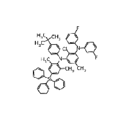 Cc1cc(N(c2cccc(F)c2)c2cccc(F)c2)c(Cl)c(N(c2ccc(C(C)(C)C)cc2)c2c(C)cc([Si](c3ccccc3)(c3ccccc3)c3ccccc3)cc2C)c1